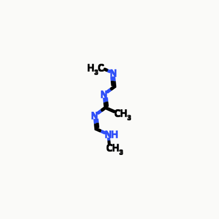 C\N=C/N=C(C)/N=C\NC